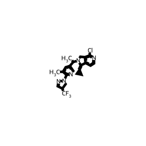 Cc1cc(C(C)N2Cc3c(ccnc3Cl)C2=C2CC2)cnc1N1CC(C(F)(F)F)C=N1